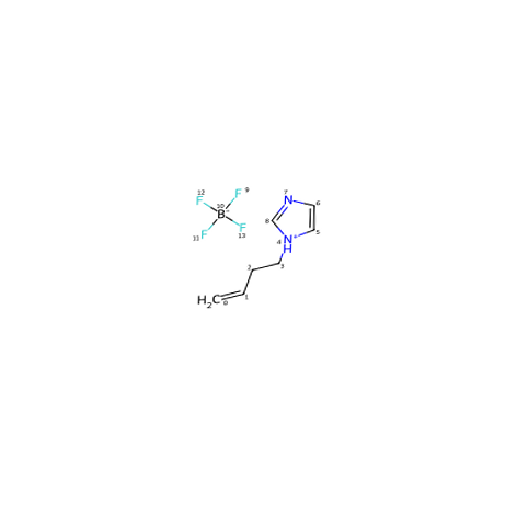 C=CCC[NH+]1C=CN=C1.F[B-](F)(F)F